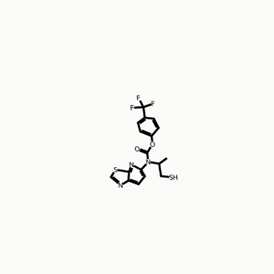 CC(CS)N(C(=O)Oc1ccc(C(F)(F)F)cc1)c1ccc2ncsc2n1